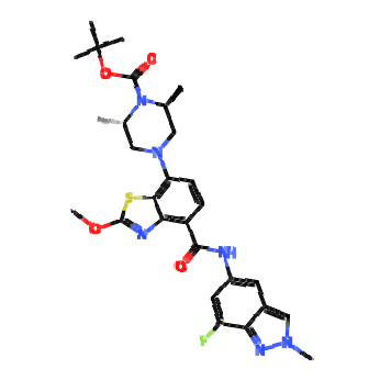 COc1nc2c(C(=O)Nc3cc(F)c4nn(C)cc4c3)ccc(N3C[C@H](C)N(C(=O)OC(C)(C)C)[C@@H](C)C3)c2s1